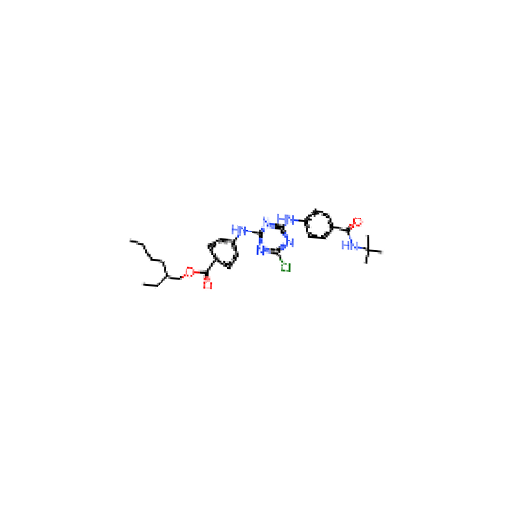 CCCCC(CC)COC(=O)c1ccc(Nc2nc(Cl)nc(Nc3ccc(C(=O)NC(C)(C)C)cc3)n2)cc1